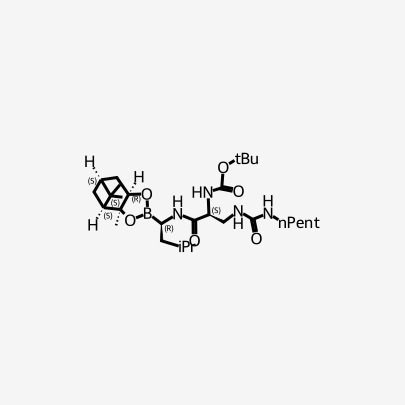 CCCCCNC(=O)NC[C@H](NC(=O)OC(C)(C)C)C(=O)N[C@@H](CC(C)C)B1O[C@@H]2C[C@@H]3C[C@@H](C3(C)C)[C@]2(C)O1